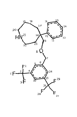 FC(F)(F)c1cc(COCC2(c3ccccc3)CCCCNCC2)cc(C(F)(F)F)c1